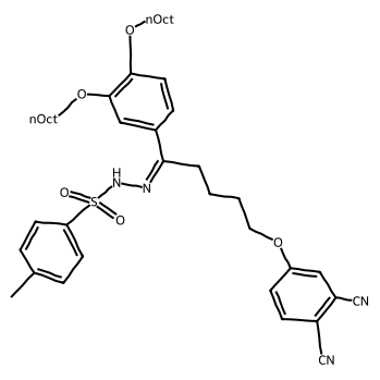 CCCCCCCCOc1ccc(/C(CCCCOc2ccc(C#N)c(C#N)c2)=N\NS(=O)(=O)c2ccc(C)cc2)cc1OCCCCCCCC